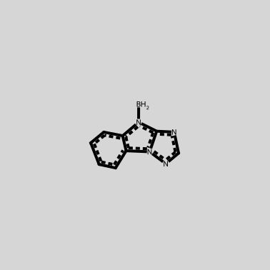 Bn1c2ccccc2n2ncnc12